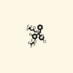 O=C(CNC(Cc1ccccc1)(c1cc(F)cc(OC(F)(F)C(F)F)c1)c1ccc(Cl)cn1)CC(F)(F)F